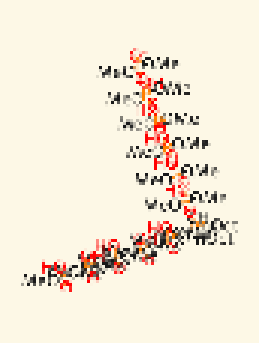 CCCCCCCC[P+](C)(CCCCCCCC)CCCCCCCC.COP(=O)(O)OC.COP(=O)(O)OC.COP(=O)(O)OC.COP(=O)(O)OC.COP(=O)(O)OC.COP(=O)(O)OC.COP(=O)(O)OC.COP(=O)(O)OC.COP(=O)(O)OC.COP(=O)(O)OC.COP(=O)([O-])OC